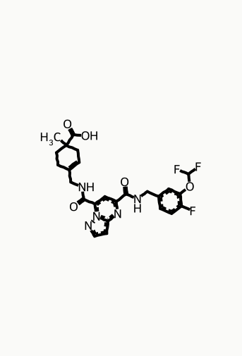 CC1(C(=O)O)CC=C(CNC(=O)c2cc(C(=O)NCc3ccc(F)c(OC(F)F)c3)nc3ccnn23)CC1